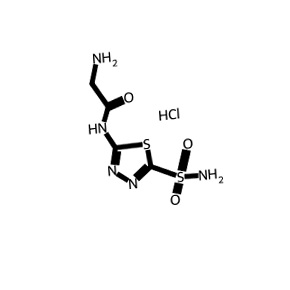 Cl.NCC(=O)Nc1nnc(S(N)(=O)=O)s1